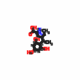 CCC(CC(N)C(=O)O)C(C)c1c(O)cc(O)cc1O